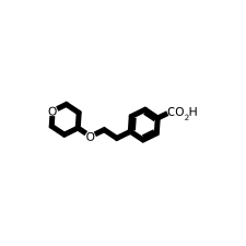 O=C(O)c1ccc(CCOC2CCOCC2)cc1